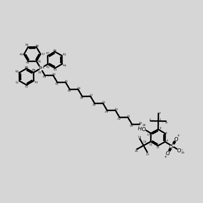 CC(C)(C)c1cc(S(=O)(=O)[O-])cc(C(C)(C)C)c1O.CCCCCCCCCCCCCCCC[P+](c1ccccc1)(c1ccccc1)c1ccccc1